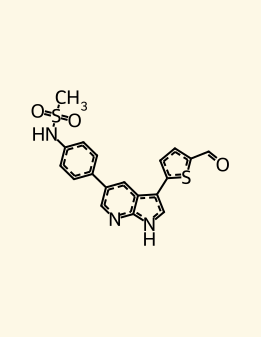 CS(=O)(=O)Nc1ccc(-c2cnc3[nH]cc(-c4ccc(C=O)s4)c3c2)cc1